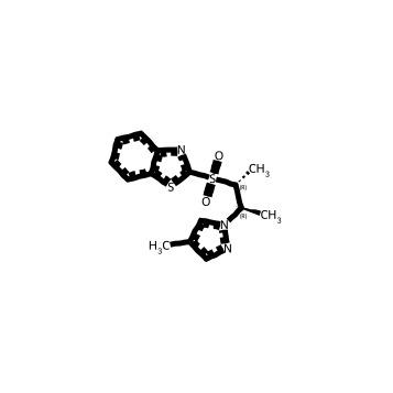 Cc1cnn([C@H](C)[C@@H](C)S(=O)(=O)c2nc3ccccc3s2)c1